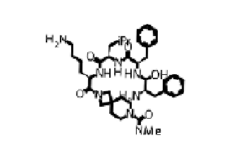 CNC(=O)N1CCC2(CC1)CN(C(=O)[C@@H](CCCCN)NC(=O)[C@@H](CC(C)C)NC(=O)[C@@H](Cc1ccccc1)NC(O)[C@H](N)Cc1ccccc1)C2